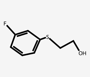 OCCSc1cccc(F)c1